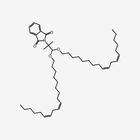 CCCCC/C=C\C/C=C\CCCCCCCCOC(OCCCCCCCC/C=C\C/C=C\CCCCC)C(C)(C)N1C(=O)c2ccccc2C1=O